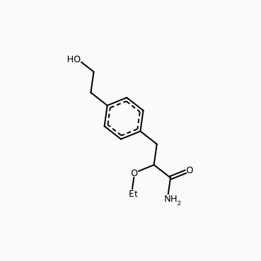 CCOC(Cc1ccc(CCO)cc1)C(N)=O